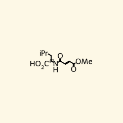 COC(=O)C=CC(=O)N[C@@H](CC(C)C)C(=O)O